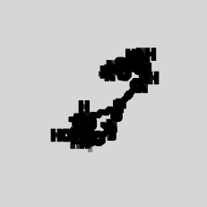 CNC(=O)c1nnc(Nc2ccc(C#CC3CN(C(=O)CCCCCC(=O)NC(C(=O)N4C[C@H](O)C[C@H]4C(=O)N[C@@H](C)c4ccc(-c5scnc5C)cc4)C(C)(C)C)C3)cn2)cc1Nc1cccc(-c2ncn(C)n2)c1OC